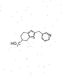 O=C(O)C1CCc2cc(Cc3cccnc3)sc2C1